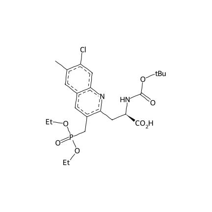 CCOP(=O)(Cc1cc2cc(C)c(Cl)cc2nc1C[C@@H](NC(=O)OC(C)(C)C)C(=O)O)OCC